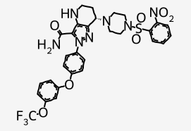 NC(=O)c1c2c(nn1-c1ccc(Oc3cccc(OC(F)(F)F)c3)cc1)[C@@H](N1CCN(S(=O)(=O)c3ccccc3[N+](=O)[O-])CC1)CCN2